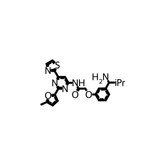 Cc1ccc(-c2nc(NC(=O)COc3cccc(C(N)C(C)C)c3)cc(-c3nccs3)n2)o1